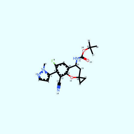 Cn1nccc1-c1c(F)cc2c(c1C#N)OC1(CC1)CC2NC(=O)OC(C)(C)C